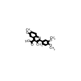 COc1ccc2nc(-c3ccc(OC)c(OC)c3)c(C)c(C(=O)O)c2c1